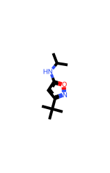 CC(C)Nc1cc(C(C)(C)C)no1